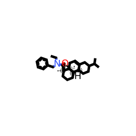 CCN(Cc1ccccc1)C(=O)[C@]1(C)CCC[C@@]2(C)[C@H]1CC=C1CC(C(C)C)CC[C@@H]12